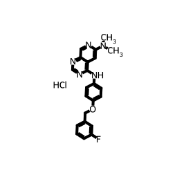 CN(C)c1cc2c(Nc3ccc(OCc4cccc(F)c4)cc3)ncnc2cn1.Cl